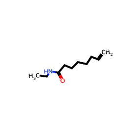 C=CCCCCCC(=O)NCC